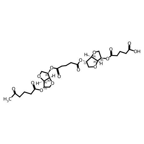 CC(=O)CCCC(=O)O[C@H]1CO[C@H]2[C@@H]1OC[C@H]2OC(=O)CCCC(=O)O[C@H]1CO[C@H]2[C@@H]1OC[C@H]2OC(=O)CCCC(=O)O